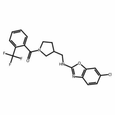 O=C(c1ccccc1C(F)(F)F)N1CCC(CNc2nc3ccc(Cl)cc3o2)C1